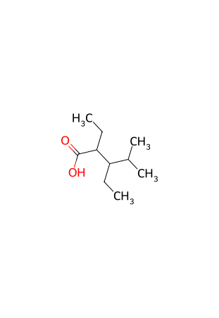 CCC(C(=O)O)C(CC)C(C)C